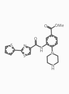 COC(=O)c1ccc(N2CCNCC2)c(NC(=O)c2csc(-c3cccs3)n2)c1